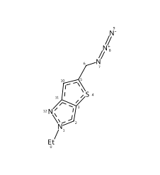 CCn1cc2sc(CN=[N+]=[N-])cc2n1